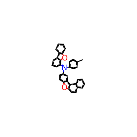 Cc1ccc(N(c2ccc3oc4ccc5ccccc5c4c3c2)c2cccc3c2oc2ccccc23)cc1